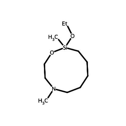 CCO[Si]1(C)CCCCCN(C)CCO1